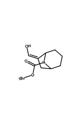 CC(C)(C)OC(=O)N1C2CCCC1/C(=C\O)C2